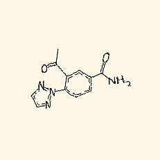 CC(=O)c1cc(C(N)=O)ccc1-n1nccn1